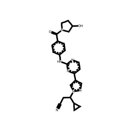 N#CCC(C1CC1)n1cc(-c2ccnc(Nc3ccc(C(=O)N4CCC(O)C4)cc3)n2)cn1